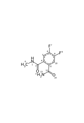 CNC(=O)c1cc(F)c(F)cc1C(N)=O